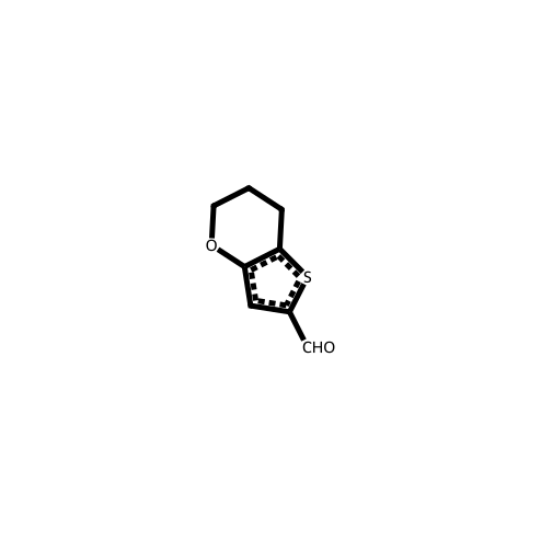 O=Cc1cc2c(s1)CCCO2